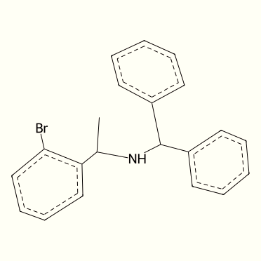 CC(NC(c1ccccc1)c1ccccc1)c1ccccc1Br